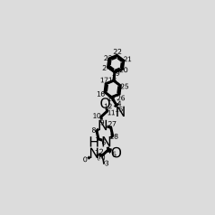 CN[C@H](C)C(=O)N1CCN(CCOC2(C#N)C=CC(c3ccccc3)C=C2)CC1